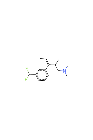 C/C=C(\c1cccc(C(F)F)c1)C(C)CN(C)C